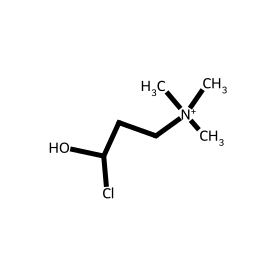 C[N+](C)(C)CCC(O)Cl